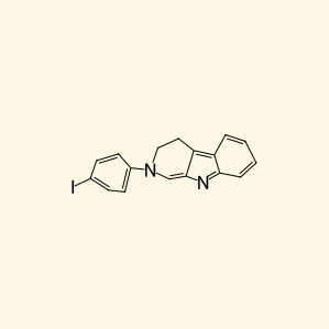 Ic1ccc(N2C=C3N=c4ccccc4=C3CC2)cc1